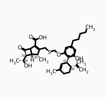 C=C(C)[C@@H]1CCC(C)=C[C@H]1c1c(O)cc(CCCCC)cc1OCSCC1=C(C(=O)O)C2C(=O)[C@H]([C@@H](C)O)[C@H]2[C@H]1C